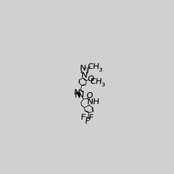 COc1cc(-c2cn(C3CCC4C=C(C(F)(F)F)C=CC4NC3=O)nn2)ccc1-n1cnc(C)c1